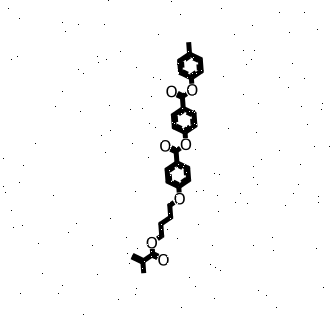 C=C(C)C(=O)OCCCCOc1ccc(C(=O)Oc2ccc(C(=O)Oc3ccc(C)cc3)cc2)cc1